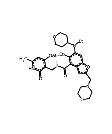 CCc1c(N(CC)C2CCOCC2)cc2oc(CN3CCOCC3)cc2c1C(=O)NCc1c(OC)cc(C)[nH]c1=O